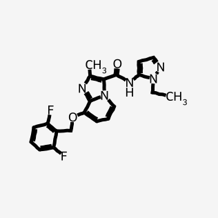 CCn1nccc1NC(=O)c1c(C)nc2c(OCc3c(F)cccc3F)cccn12